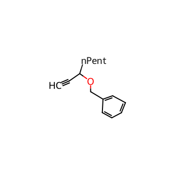 C#CC(CCCCC)OCc1ccccc1